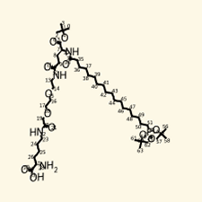 CC(C)(C)OC(=O)[C@H](CCC(=O)NCCOCCOCC(=O)NCCCC[C@H](N)C(=O)O)NC(=O)CCCCCCCCCCCCCCCCCP(=O)(OC(C)(C)C)OC(C)(C)C